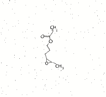 C=CC(=O)OCCCC1OC1CC